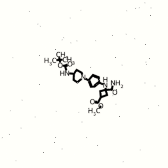 COC(=O)C1CC(Nc2ccc(N3CCC(NC(=O)OC(C)(C)C)CC3)cc2)(C(N)=O)C1